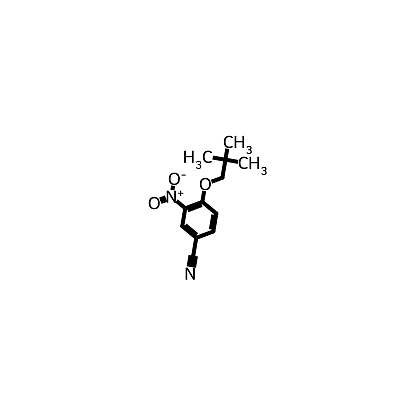 CC(C)(C)COc1ccc(C#N)cc1[N+](=O)[O-]